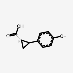 O=C(O)[C@H]1CC1c1ccc(O)cc1